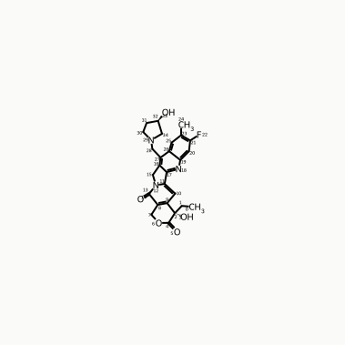 CC[C@@]1(O)C(=O)OCc2c1cc1n(c2=O)Cc2c-1nc1cc(F)c(C)cc1c2CN1CC[C@@H](O)C1